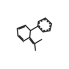 CC(C)=C1[C]=CC=CC1c1ccccc1